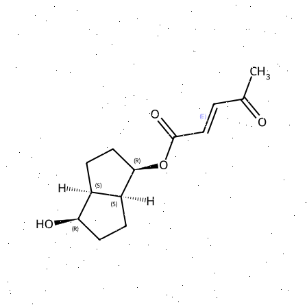 CC(=O)/C=C/C(=O)O[C@@H]1CC[C@H]2[C@@H]1CC[C@H]2O